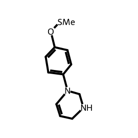 CSOc1ccc(N2C=CCNC2)cc1